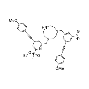 CCOP(C)(=O)c1cc(C#Cc2ccc(OC)cc2)cc(CN2CCNCCN(Cc3cc(C#Cc4ccc(OC)cc4)cc([PH](C)=O)n3)CC2)n1